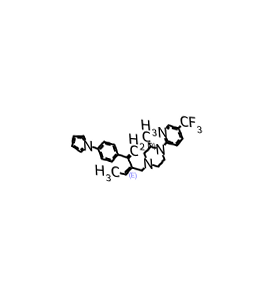 C=C(/C(=C\C)CN1CCN(c2ccc(C(F)(F)F)cn2)[C@H](C)C1)c1ccc(-n2cccc2)cc1